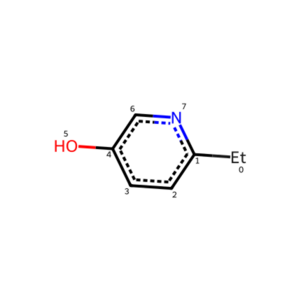 CCc1ccc(O)cn1